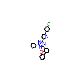 Clc1ccc(-c2ccc(-c3nc(-c4ccccc4)nc(-c4cccc5c4oc4ccccc45)n3)cn2)cc1